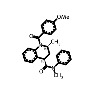 COc1ccc(C(=O)N2c3ccccc3[C@H](C(=O)N(C)c3ccccc3)C[C@H]2C)cc1